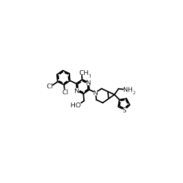 Cc1nc(N2CCC3C(C2)C3(CN)c2ccsc2)c(CO)nc1-c1cccc(Cl)c1Cl